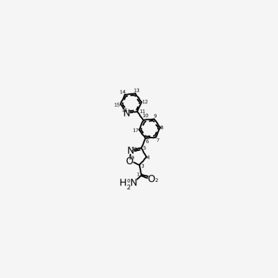 NC(=O)C1CC(c2cccc(-c3ccccn3)c2)=NO1